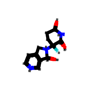 O=C1CCC(F)(N2Cc3ccncc3C2=O)C(=O)N1